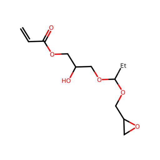 C=CC(=O)OCC(O)COC(CC)OCC1CO1